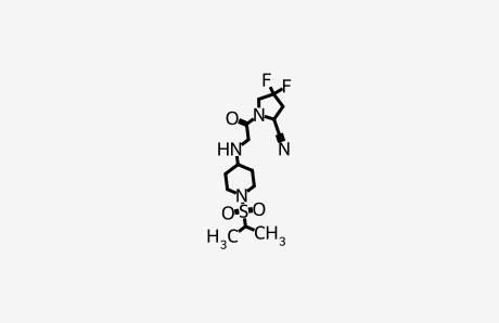 CC(C)S(=O)(=O)N1CCC(NCC(=O)N2CC(F)(F)CC2C#N)CC1